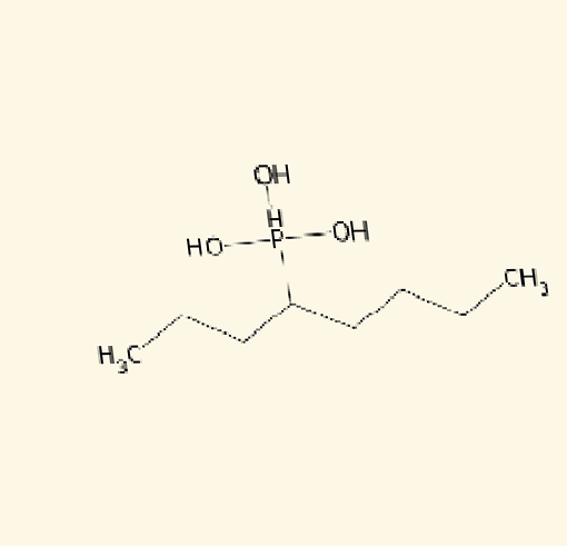 CCCCC(CCC)[PH](O)(O)O